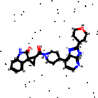 O=C(C1CC12C(=O)Nc1ccccc12)N1CCC(c2ccnc3[nH]c(C4CCOCC4)nc23)CC1